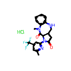 Cc1cc(C(F)(F)F)cc(N2C(=O)CC3CNc4ccccc4N(C)C(=O)C32)n1.Cl